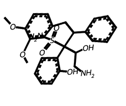 COc1ccc(CC(c2ccccc2)C(c2ccccc2O)(C(O)CN)S(N)(=O)=O)cc1OC